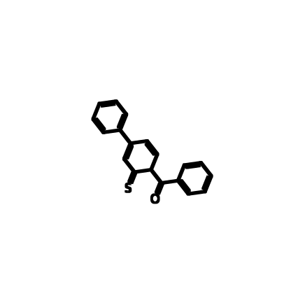 O=C(c1ccccc1)C1C=CC(c2ccccc2)=CC1=S